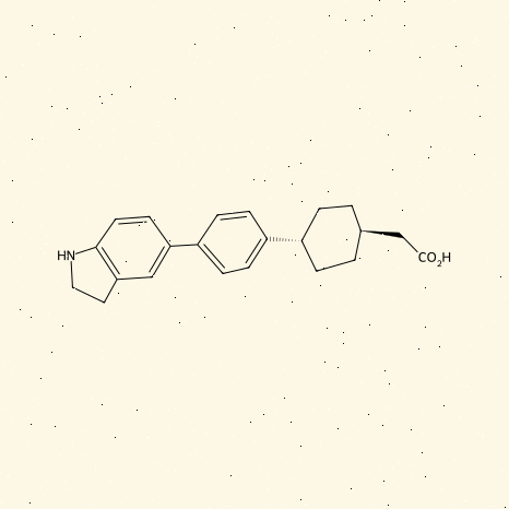 O=C(O)C[C@H]1CC[C@H](c2ccc(-c3ccc4c(c3)CCN4)cc2)CC1